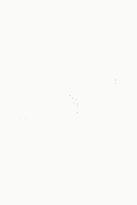 Cc1ccc(CCC=S)cc1